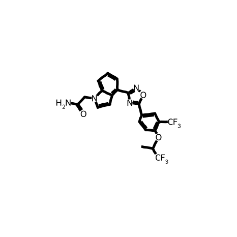 CC(Oc1ccc(-c2nc(-c3cccc4c3ccn4CC(N)=O)no2)cc1C(F)(F)F)C(F)(F)F